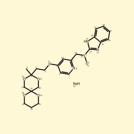 CC1(CCOc2ccnc(C[S+]([O-])c3nc4ccccc4[nH]3)c2)OCC2(CO1)OCCCO2.[NaH]